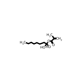 C=C(C)C(=O)OC(O)(O)CCCCCCC